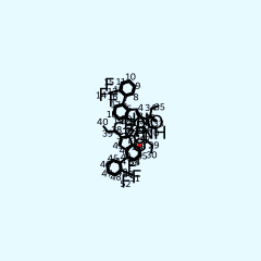 CCCC1=Cc2c(-c3ccccc3C(F)(F)F)cccc2[CH]1[Zr]([Cl])([Cl])([B](NC(=O)CC)NC(=O)CC)[CH]1C(CCC)=Cc2c(-c3ccccc3C(F)(F)F)cccc21